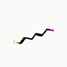 FC=CCC=CCI